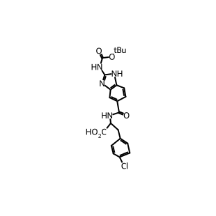 CC(C)(C)OC(=O)Nc1nc2cc(C(=O)NC(Cc3ccc(Cl)cc3)C(=O)O)ccc2[nH]1